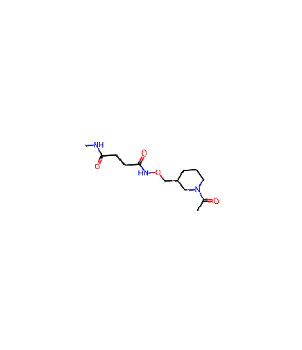 CNC(=O)CCC(=O)NOCC1CCCN(C(C)=O)C1